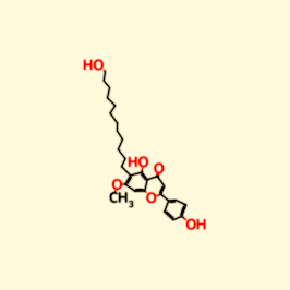 COc1cc2oc(-c3ccc(O)cc3)cc(=O)c2c(O)c1CCCCCCCCCCCCO